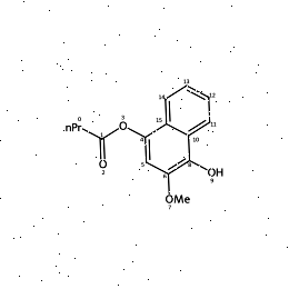 CCCC(=O)Oc1cc(OC)c(O)c2ccccc12